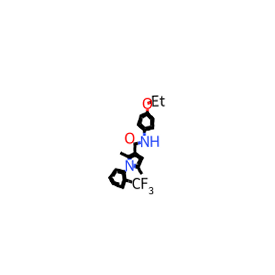 CCOc1ccc(NC(=O)c2cc(C)n(-c3ccccc3C(F)(F)F)c2C)cc1